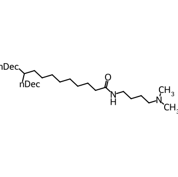 CCCCCCCCCCC(CCCCCCCCCC)CCCCCCCCC(=O)NCCCCN(C)C